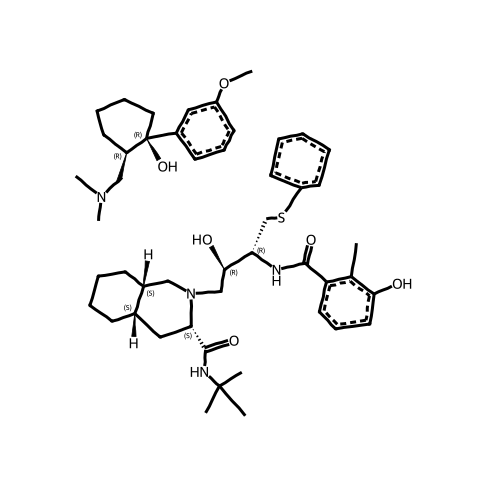 COc1cccc([C@@]2(O)CCCC[C@@H]2CN(C)C)c1.Cc1c(O)cccc1C(=O)N[C@@H](CSc1ccccc1)[C@H](O)CN1C[C@H]2CCCC[C@H]2C[C@H]1C(=O)NC(C)(C)C